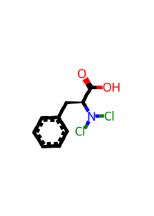 O=C(O)[C@H](Cc1ccccc1)N(Cl)Cl